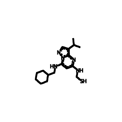 CC(C)c1cnn2c(NCC3CCCCC3)cc(NCS)nc12